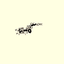 CCCCCCCCCCCCCC=C(C)NC(=O)NC1CCCCC1OC(=O)CCNC(=O)C1OC(C)(C)OCC1(C)C